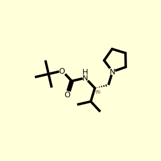 CC(C)[C@@H](CN1CCCC1)NC(=O)OC(C)(C)C